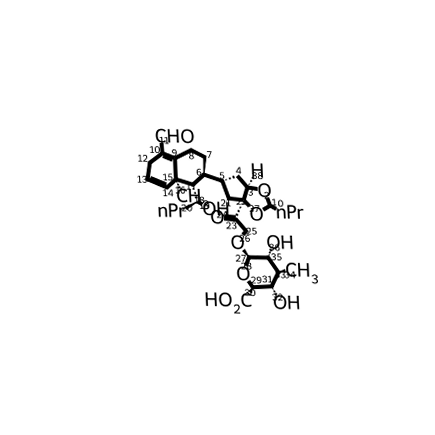 CCCC1O[C@@H]2C[C@@H]([C@@H]3CCC4=C(C=O)CC=C[C@]4(C)[C@H]3[C@@H](O)CCC)C[C@]2(C(=O)CO[C@@H]2O[C@H](C(=O)O)[C@@H](O)[C@H](C)[C@H]2O)O1